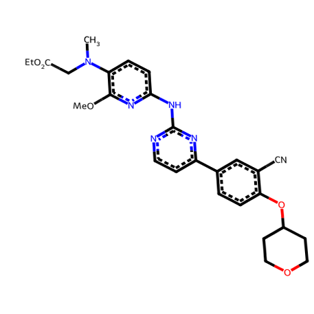 CCOC(=O)CN(C)c1ccc(Nc2nccc(-c3ccc(OC4CCOCC4)c(C#N)c3)n2)nc1OC